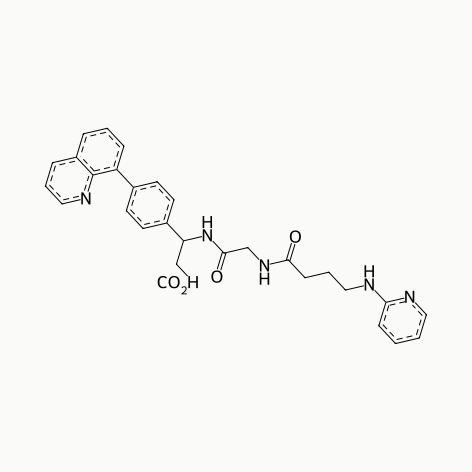 O=C(O)CC(NC(=O)CNC(=O)CCCNc1ccccn1)c1ccc(-c2cccc3cccnc23)cc1